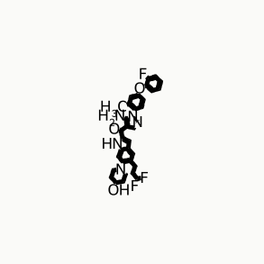 Cc1cc(Oc2ccccc2F)ccc1-n1ncc(C(=O)c2cc3cc(CCC(F)F)c(N4CCC(O)CC4)cc3[nH]2)c1N